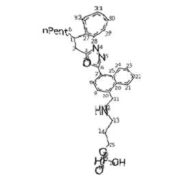 CCCCCC(Cc1nnc(-c2ccc(CNCCCO[PH](=O)O)c3ccccc23)o1)c1ccccc1